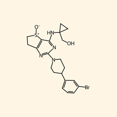 [O-][S+]1CCc2nc(N3CCC(c4cccc(Br)c4)CC3)nc(NC3(CO)CC3)c21